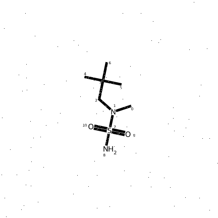 CN(CC(C)(C)C)S(N)(=O)=O